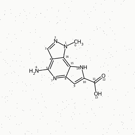 Cn1ncc2c(N)nc3cc(C(=O)O)[nH]c3c21